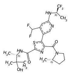 C[C@H](NC(=O)c1nc(C(=O)N2CCC[C@@H]2C)c(-c2cnc(N[C@H](C)C(F)(F)F)cc2C(F)F)s1)C(C)(C)O